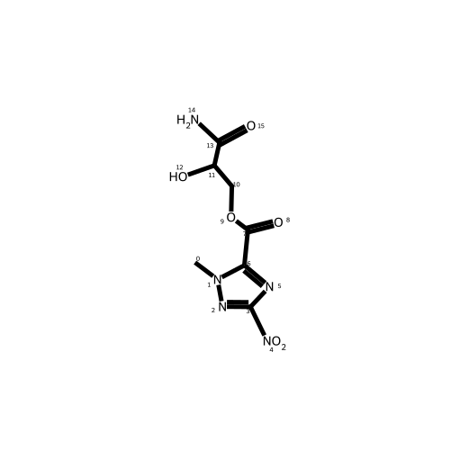 Cn1nc([N+](=O)[O-])nc1C(=O)OCC(O)C(N)=O